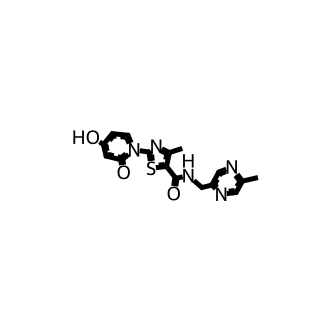 Cc1cnc(CNC(=O)c2sc(-n3ccc(O)cc3=O)nc2C)cn1